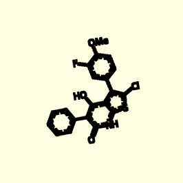 COc1ccc(-c2c(Cl)sc3[nH]c(=O)c(-c4ccccc4)c(O)c23)cc1F